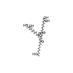 CC(O)CCCCCCCCC(=O)OCC(COC(=O)CCCCCCCC(O)CO)OC(=O)CCCCCCCC(O)CO